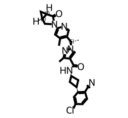 Cc1cc(N2C[C@H]3C[C@H]3C2=O)ncc1[C@H](C)n1cc(C(=O)N[C@H]2C[C@@H](c3cc(Cl)ccc3C#N)C2)c(C)n1